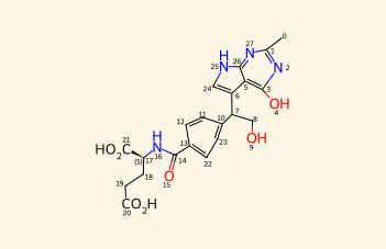 Cc1nc(O)c2c(C(CO)c3ccc(C(=O)N[C@@H](CCC(=O)O)C(=O)O)cc3)c[nH]c2n1